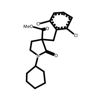 COC(=O)C1(Cc2c(Cl)cccc2Cl)CCN(C2CCCCC2)C1=O